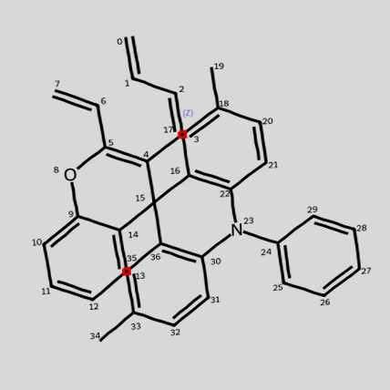 C=C/C=C\C1=C(C=C)Oc2ccccc2C12c1cc(C)ccc1N(c1ccccc1)c1ccc(C)cc12